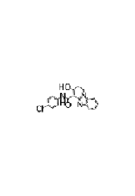 O=C(Nc1ccc(Cl)cc1)C1=C(O)CCn2c1nc1ccccc12